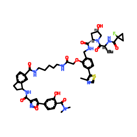 Cc1ncsc1-c1ccc(CNC(=O)[C@@H]2C[C@@H](O)CN2C(=O)[C@@H](NC(=O)C2(F)CC2)C(C)(C)C)c(OCC(=O)NCCCCCNC(=O)c2ccc3c(c2)C(NC(=O)c2cc(-c4ccc(C(=O)N(C)C)c(O)c4)on2)CC3)c1